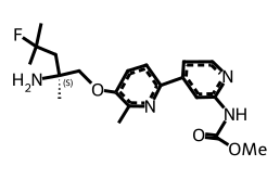 COC(=O)Nc1cc(-c2ccc(OC[C@@](C)(N)CC(C)(C)F)c(C)n2)ccn1